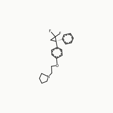 FC1(F)C[C@]1(c1ccccc1)c1ccc(OCCN2CCCC2)cc1